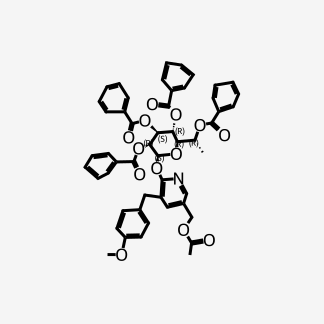 COc1ccc(Cc2cc(COC(C)=O)cnc2O[C@@H]2O[C@H]([C@@H](C)OC(=O)c3ccccc3)[C@@H](OC(=O)c3ccccc3)[C@H](OC(=O)c3ccccc3)[C@H]2OC(=O)c2ccccc2)cc1